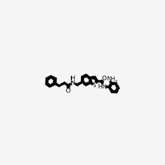 Nc1ccccc1NC(=O)c1cc2ccc(CNC(=O)CCc3ccccc3)cc2s1